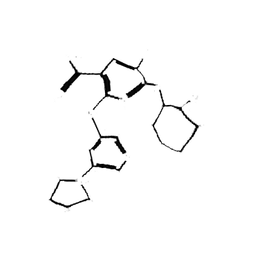 NC(=O)c1cc(F)c(NC2CCCC[C@@H]2N)nc1Nc1cncc(N2CCCC2)c1